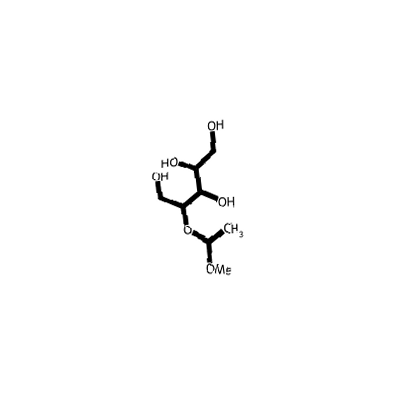 COC(C)OC(CO)C(O)C(O)CO